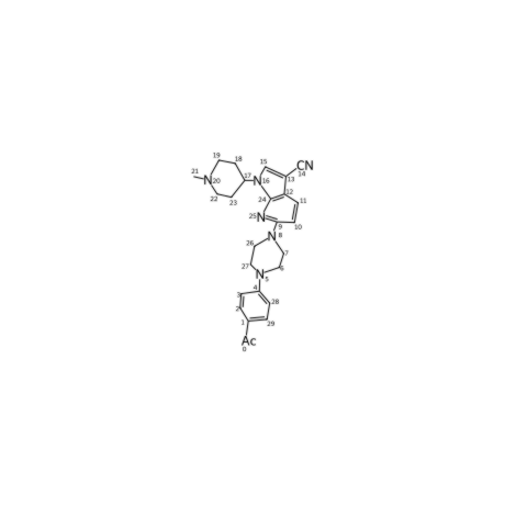 CC(=O)c1ccc(N2CCN(c3ccc4c(C#N)cn(C5CCN(C)CC5)c4n3)CC2)cc1